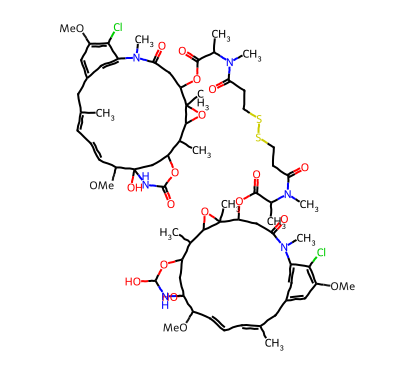 COc1cc2cc(c1Cl)N(C)C(=O)CC(OC(=O)C(C)N(C)C(=O)CCSSCCC(=O)N(C)C(C)C(=O)OC1CC(=O)N(C)c3cc(cc(OC)c3Cl)C/C(C)=C/C=C/C(OC)C3(O)CC(OC(O)N3)C(C)C3OC13C)C1(C)OC1C(C)C1CC(O)(NC(=O)O1)C(OC)/C=C/C=C(\C)C2